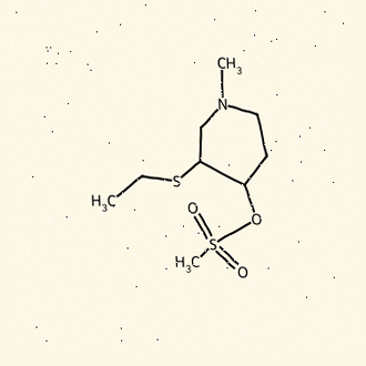 CCSC1CN(C)CCC1OS(C)(=O)=O